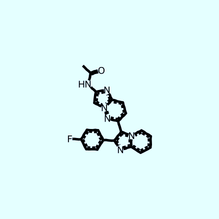 CC(=O)Nc1cn2nc(-c3c(-c4ccc(F)cc4)nc4ccccn34)ccc2n1